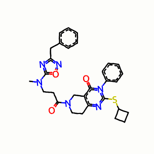 CN(CCC(=O)N1CCc2nc(SC3CCC3)n(-c3ccccc3)c(=O)c2C1)c1nc(Cc2ccccc2)no1